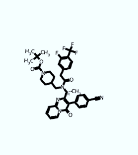 C[C@H](c1nc2ccccn2c(=O)c1-c1ccc(C#N)cc1)N(CC1CCN(C(=O)OC(C)(C)C)CC1)C(=O)Cc1ccc(C(F)(F)F)c(F)c1